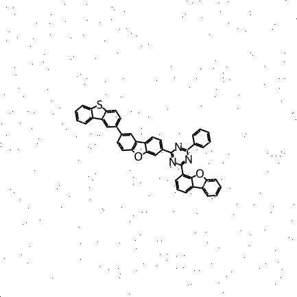 c1ccc(-c2nc(-c3ccc4c(c3)oc3ccc(-c5ccc6sc7ccccc7c6c5)cc34)nc(-c3cccc4c3oc3ccccc34)n2)cc1